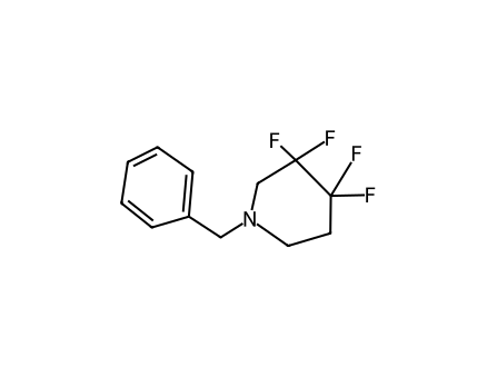 FC1(F)CCN(Cc2ccccc2)CC1(F)F